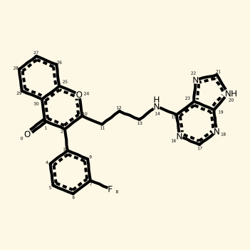 O=c1c(-c2cccc(F)c2)c(CCCNc2ncnc3[nH]cnc23)oc2ccccc12